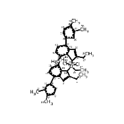 CCC1=Cc2c(-c3ccc(C)c(C)c3)ccc(C)c2[CH]1[Zr]([Cl])([Cl])([CH2]C)[CH]1C(CC)=Cc2c(-c3ccc(C)c(C)c3)ccc(C)c21